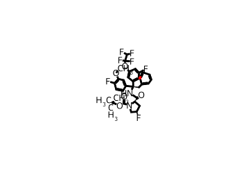 COc1cc([C@@](Cc2ccccc2)(NC(=O)[C@H]2C[C@@H](F)CN2C(=O)OC(C)(C)C)c2cc(F)cc(OC(F)(F)C(F)F)c2)ccc1F